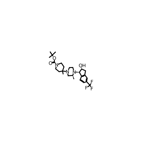 C[C@H]1CN(C2(C)CCN(C(=O)OC(C)(C)C)CC2)CCN1[C@@H]1c2ccc(C(F)(F)F)cc2C[C@H]1O